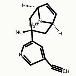 C#Cc1cncc([C@]2(C#N)C[C@H]3C=C[C@@H](C2)N3C)c1